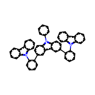 c1ccc(-n2c3ccc(-c4ccccc4-n4c5ccccc5c5ccccc54)cc3c3cc(-c4ccccc4-n4c5ccccc5c5ccccc54)ccc32)cc1